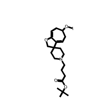 CC(C)(C)OC(=O)CCCN1CCC2(CC1)COC1=CCC(OI)CC=C12